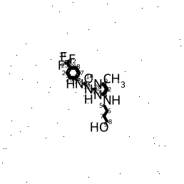 Cc1cc(NCCCCO)nc(NC(=O)Nc2ccc(C(F)(F)F)cc2)n1